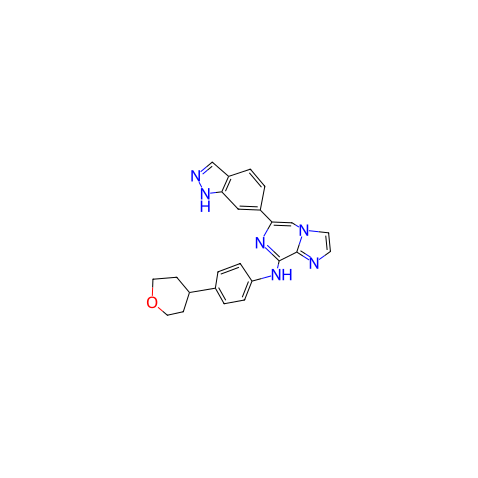 c1cn2cc(-c3ccc4cn[nH]c4c3)nc(Nc3ccc(C4CCOCC4)cc3)c2n1